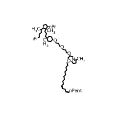 CCCCC/C=C\C/C=C\CCCCCCCCCCOCC(CN1CCCC1C)OCCCOCCCO[C@H]1CC[C@](C)(CCC[C@@]2(C)[C@H](CCC)CC[C@@H]2[C@H](C)CCCC(C)C)CC1